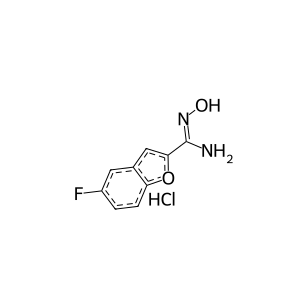 Cl.NC(=NO)c1cc2cc(F)ccc2o1